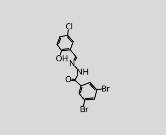 O=C(NN=Cc1cc(Cl)ccc1O)c1cc(Br)cc(Br)c1